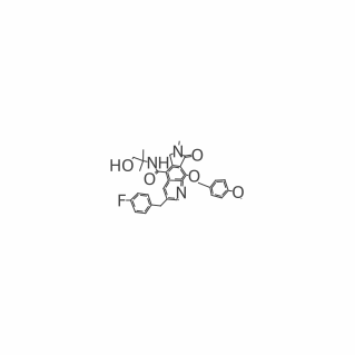 COc1ccc(COc2c3c(c(C(=O)NC(C)(C)CO)c4cc(Cc5ccc(F)cc5)cnc24)CN(C)C3=O)cc1